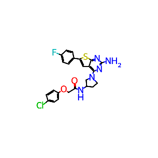 Nc1nc(N2CCC(NC(=O)COc3ccc(Cl)cc3)C2)c2cc(-c3ccc(F)cc3)sc2n1